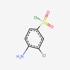 Nc1ccc(S(=O)(=O)Cl)cc1Cl